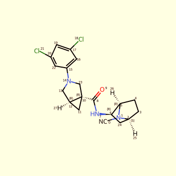 N#CN1[C@H]2CC[C@@H]1[C@H](NC(=O)[C@]13C[C@H]1CN(c1cc(Cl)cc(Cl)c1)C3)C2